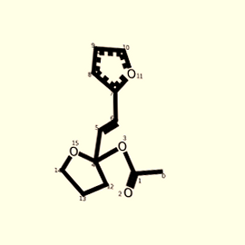 CC(=O)OC1(C=Cc2ccco2)CCCO1